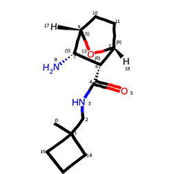 CC1(CNC(=O)[C@@H]2[C@H](N)[C@@H]3CC[C@H]2O3)CCC1